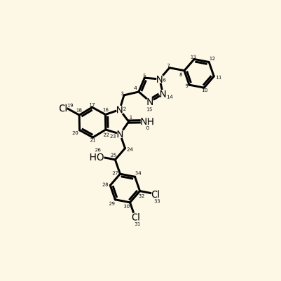 N=c1n(Cc2cn(Cc3ccccc3)nn2)c2cc(Cl)ccc2n1CC(O)c1ccc(Cl)c(Cl)c1